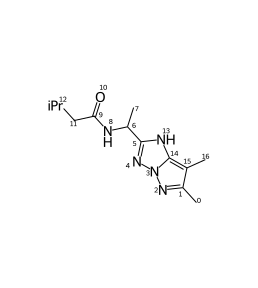 Cc1nn2nc(C(C)NC(=O)CC(C)C)[nH]c2c1C